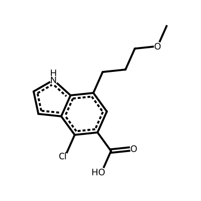 COCCCc1cc(C(=O)O)c(Cl)c2cc[nH]c12